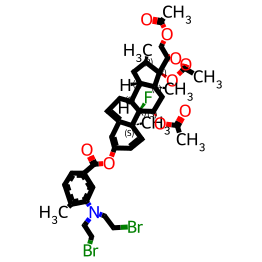 CC(=O)OCC(=O)[C@@]1(OC(C)=O)[C@H](C)C[C@H]2[C@@H]3CC=C4C=C(OC(=O)c5ccc(C)c(N(CCBr)CCBr)c5)C=C[C@]4(C)[C@@]3(F)[C@@H](OC(C)=O)C[C@@]21C